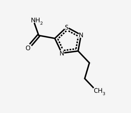 CCCc1nsc(C(N)=O)n1